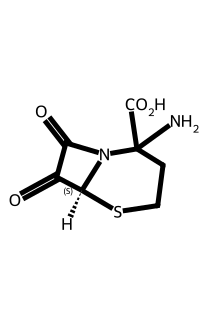 NC1(C(=O)O)CCS[C@H]2C(=O)C(=O)N21